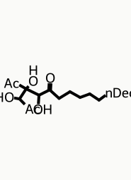 CCCCCCCCCCCCCCCC(=O)C(O)C(O)(C(C)=O)C(O)C(C)=O